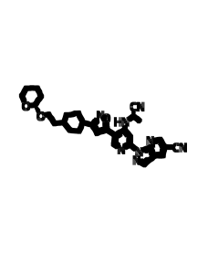 C[C@H](C#N)Nc1cc(-n2ncc3cc(C#N)cnc32)ncc1-c1cc(C2CCC(CCO[C@@H]3CCCCO3)CC2)no1